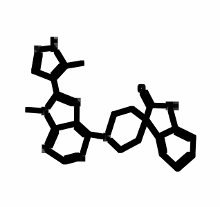 Cc1[nH]ncc1-c1nc2c(N3CCC4(CC3)C(=O)Nc3ccccc34)ncnc2n1C